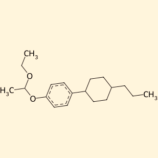 CCCC1CCC(c2ccc(OC(C)OCC)cc2)CC1